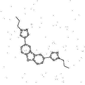 CCCn1cc(-c2ccc3oc4ccc(-c5cnn(CCC)c5)cc4c3c2)cn1